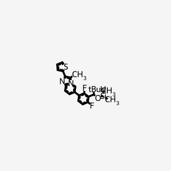 Cc1c(-c2cccs2)nc2ccc(-c3ccc(F)c(C(O[SiH](C)C)C(C)(C)C)c3F)cn12